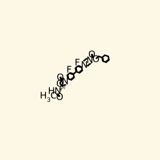 CC(=O)NC[C@H]1CN(c2ccc(-c3ccc(N4CCN(C(=O)OCC5=CC=CCC5)CC4)c(F)c3)c(F)c2)C(=O)O1